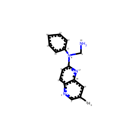 [2H]c1cnc2ccc(N(CN)c3ccccc3)nc2c1